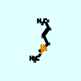 C/C=C/C[PH3]C